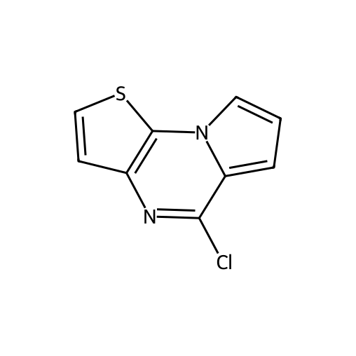 Clc1nc2ccsc2n2cccc12